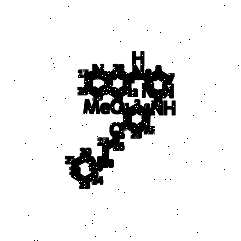 COc1cc(Nc2nccc(Nc3ccc4cccnc4c3)n2)ccc1OCCCN1CCCCC1